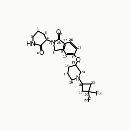 O=C1NCCCC1N1Cc2cc(OC3CCCN(C4CC(F)(F)C4)C3)ccc2C1=O